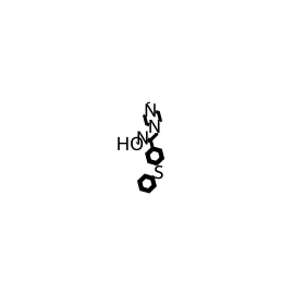 CN1CCN(CC(=NO)c2ccc(Sc3ccccc3)cc2)CC1